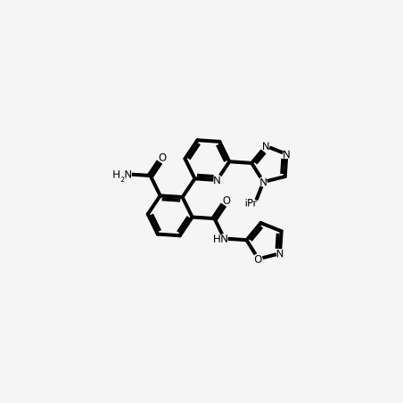 CC(C)n1cnnc1-c1cccc(-c2c(C(N)=O)cccc2C(=O)Nc2ccno2)n1